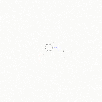 CC(=O)OCc1ccc(C)c(NCC(C)(C)C)c1